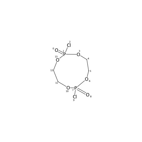 O=P1(Cl)OCCOP(=O)(Cl)OCCO1